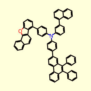 c1ccc(-c2c(-c3ccccc3)c3cc(-c4ccc(N(c5ccc(-c6cccc7oc8c9ccccc9ccc8c67)cc5)c5cccc(-c6cccc7ccccc67)c5)cc4)ccc3c3ccccc23)cc1